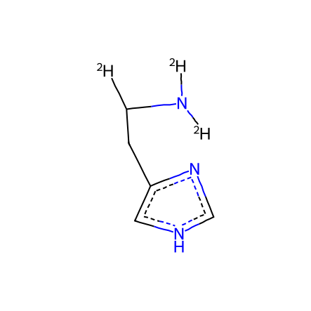 [2H]C(Cc1c[nH]cn1)N([2H])[2H]